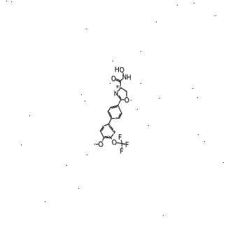 COc1ccc(-c2ccc(C3=N[C@@H](C(=O)NO)CO3)cc2)cc1OC(F)(F)F